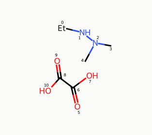 CCNN(C)C.O=C(O)C(=O)O